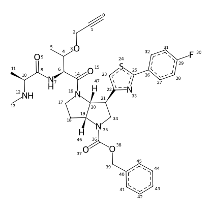 C#CCOC(C)[C@H](NC(=O)[C@H](C)NC)C(=O)N1CC[C@@H]2[C@H]1[C@@H](c1csc(-c3ccc(F)cc3)n1)CN2C(=O)OCc1ccccc1